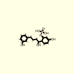 O=P(O)(O)N=C1C=C(O)C=CC1C(O)CCCc1cccc(O)c1